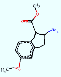 COC(=O)C1c2ccc(OC)cc2CC1N